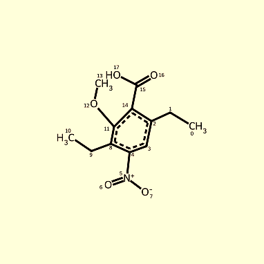 CCc1cc([N+](=O)[O-])c(CC)c(OC)c1C(=O)O